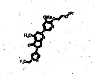 CCCOCCOc1ncc(-c2cc(C)c3c(n2)CN(c2cnn(CC(F)(F)F)c2)C3=O)cc1OC